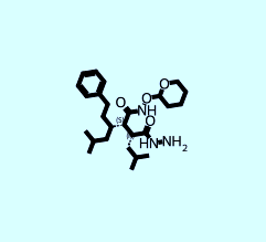 CC(C)CC(CCc1ccccc1)[C@H](C(=O)NOC1CCCCO1)[C@@H](CC(C)C)C(=O)NN